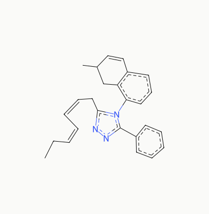 CC/C=C\C=C/Cc1nnc(-c2ccccc2)n1-c1cccc2c1CC(C)C=C2